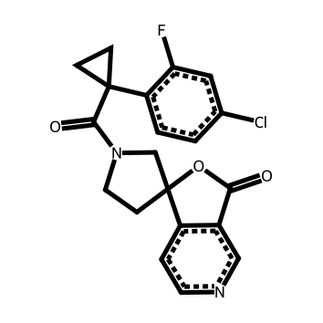 O=C1OC2(CCN(C(=O)C3(c4ccc(Cl)cc4F)CC3)C2)c2ccncc21